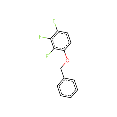 Fc1ccc(OCc2ccccc2)c(F)c1F